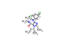 CCc1nc2c(n1C(CC)CC)C(=O)N(C)C(C)N2c1ccc(Cl)cc1Cl